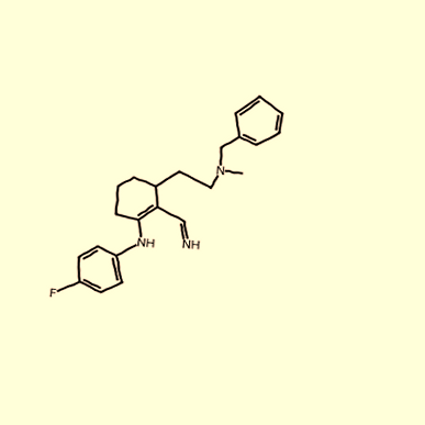 CN(CCC1CCCC(Nc2ccc(F)cc2)=C1C=N)Cc1ccccc1